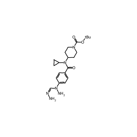 CC(C)(C)OC(=O)N1CCC(N(C(=O)c2ccc(N(N)/C=N\N)cc2)C2CC2)CC1